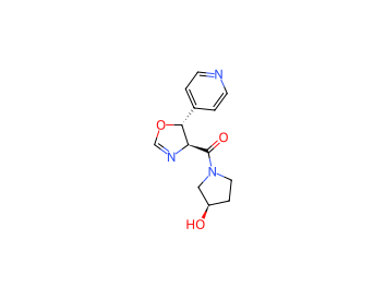 O=C([C@H]1N=CO[C@@H]1c1ccncc1)N1CC[C@@H](O)C1